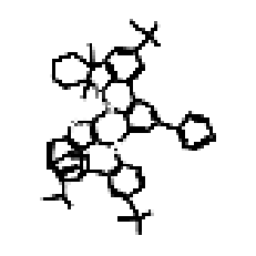 CC(C)c1ccc2sc3c(c2c1)N(c1ccc(C(C)(C)C)cc1-c1ccccc1)c1cc(-c2ccccc2)cc2c1B3N1c3c-2cc(C(C)(C)C)cc3C2(C)CCCCC12C